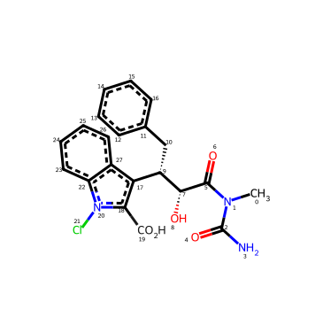 CN(C(N)=O)C(=O)[C@H](O)[C@@H](Cc1ccccc1)c1c(C(=O)O)n(Cl)c2ccccc12